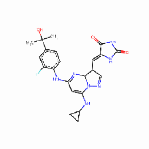 CC(C)(O)c1ccc(NC2=NC3C(/C=C4\NC(=O)NC4=O)C=NN3C(NC3CC3)=C2)c(F)c1